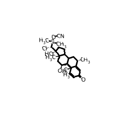 C[C@H]1CC2C([C@@H](O)C[C@@]3(C)C2CC[C@]3(O)[C@H](Cl)[Si](C)(C)OC#N)[C@@]2(C)C=CC(=O)C=C12